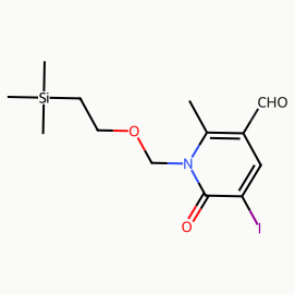 Cc1c(C=O)cc(I)c(=O)n1COCC[Si](C)(C)C